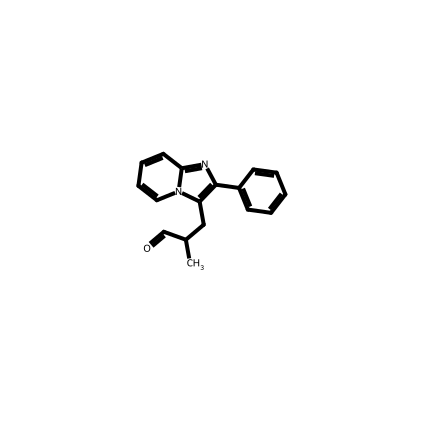 CC(C=O)Cc1c(-c2ccccc2)nc2ccccn12